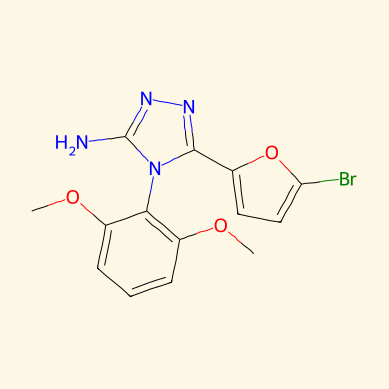 COc1cccc(OC)c1-n1c(N)nnc1-c1ccc(Br)o1